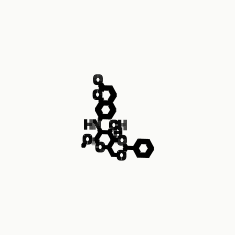 CO[C@H]1OC2COC(c3ccccc3)O[C@H]2C(O)C1Nc1ccc2ccc(=O)oc2c1